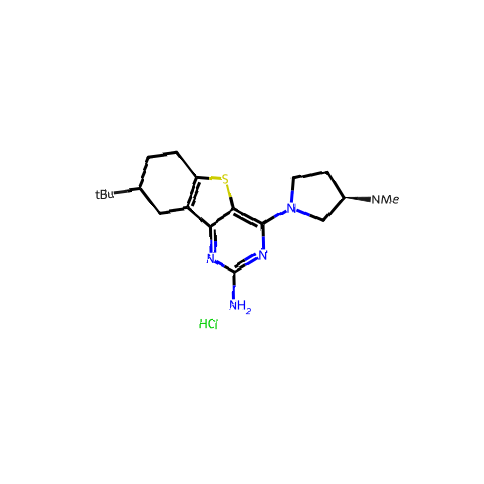 CN[C@@H]1CCN(c2nc(N)nc3c4c(sc23)CCC(C(C)(C)C)C4)C1.Cl